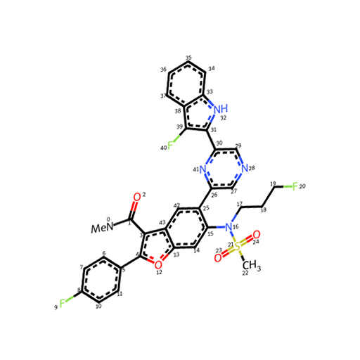 CNC(=O)c1c(-c2ccc(F)cc2)oc2cc(N(CCCF)S(C)(=O)=O)c(-c3cncc(-c4[nH]c5ccccc5c4F)n3)cc12